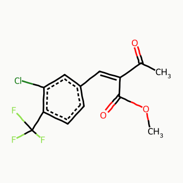 COC(=O)C(=Cc1ccc(C(F)(F)F)c(Cl)c1)C(C)=O